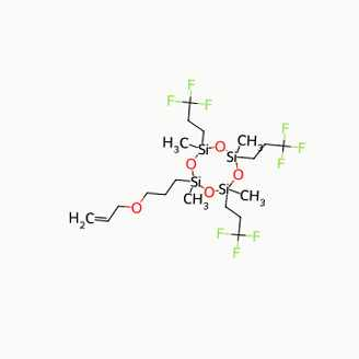 C=CCOCCC[Si]1(C)O[Si](C)(CCC(F)(F)F)O[Si](C)(CCC(F)(F)F)O[Si](C)(CCC(F)(F)F)O1